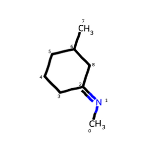 CN=C1CCCC(C)C1